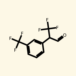 O=CC(c1cccc(C(F)(F)F)c1)C(F)(F)F